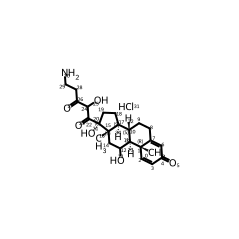 C[C@]12C=CC(=O)C=C1CC[C@@H]1[C@@H]2C(O)C[C@@]2(C)[C@H]1CC[C@]2(O)C(=O)C(O)C(=O)CCN.Cl